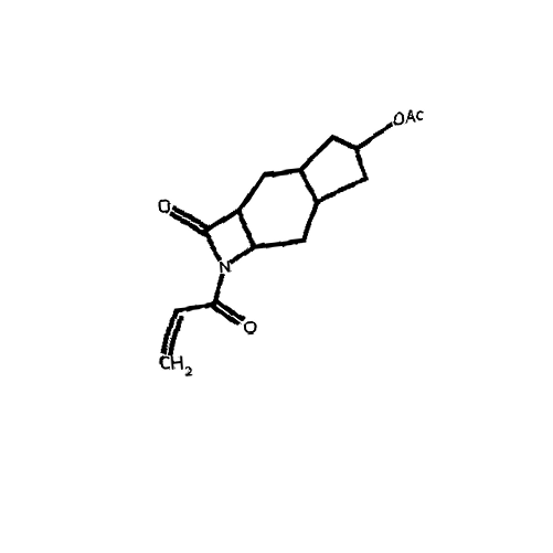 C=CC(=O)N1C(=O)C2CC3CC(OC(C)=O)CC3CC21